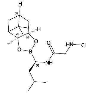 CC(C)C[C@H](NC(=O)CNCl)B1O[C@@H]2C[C@@H]3CC(C3(C)C)[C@]2(C)O1